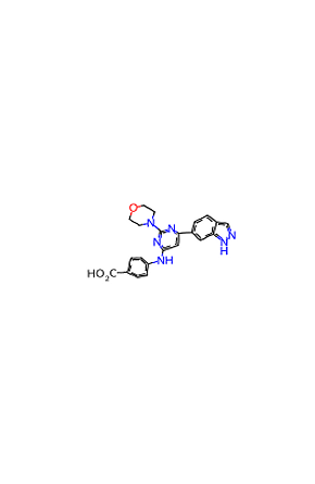 O=C(O)c1ccc(Nc2cc(-c3ccc4cn[nH]c4c3)nc(N3CCOCC3)n2)cc1